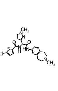 CN1CCc2ccc(NC(=O)C(NC(=O)c3ccc(Cl)s3)c3ccn(C)n3)cc2CC1